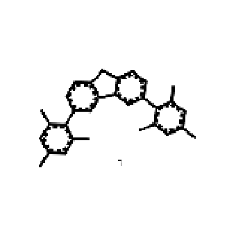 Cc1cc(C)c(-c2ccc3c(c2)-c2cc(-c4c(C)cc(C)cc4C)ccc2[CH]3)c(C)c1.[Ti]